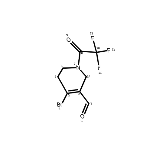 O=CC1=C(Br)CCN(C(=O)C(F)(F)F)C1